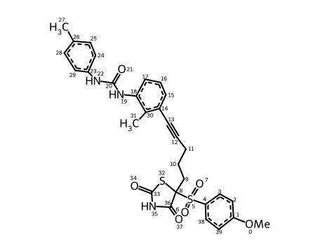 COc1ccc(S(=O)(=O)C2(CCCC#Cc3cccc(NC(=O)Nc4ccc(C)cc4)c3C)SC(=O)NC2=O)cc1